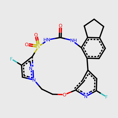 O=C1Nc2c(ccc3c2CCC3)-c2cc(F)nc(c2)OCCn2cc(F)c(n2)S(=O)(=O)N1